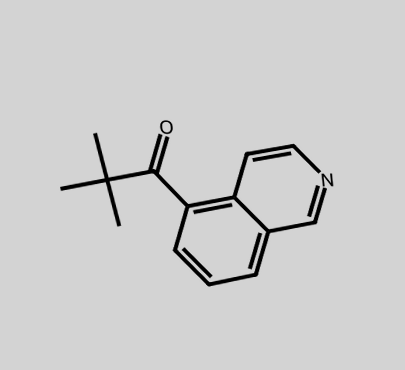 CC(C)(C)C(=O)c1cccc2cnccc12